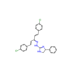 Clc1ccc(C=CC(C=Cc2ccc(Cl)cc2)=NNC2=NC(c3ccccc3)CN2)cc1